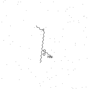 CCCCCCCC(CCCCCCCCCCC1CC1CCCC)OC(=O)CCCNC